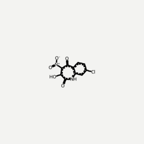 O=c1[nH]c2cc(Cl)ccc2c(=O)c([N+](=O)[O-])c1O